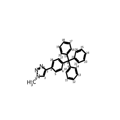 Cn1cc(-c2ccc(C(c3ccccc3)(c3ccccc3)c3ccccc3)cc2)nn1